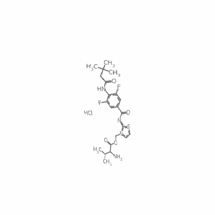 CC(C)C(N)C(=O)OCn1ccs/c1=N\C(=O)c1cc(F)c(NC(=O)CC(C)(C)C)c(F)c1.Cl